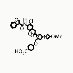 COC1CN([C@H]2CC(CO[C@H]3CC[C@H](C(=O)O)CC3)N(C(=O)Cc3cc(Cl)c(NC(=O)c4coc5ccccc45)cc3Cl)C2)C1